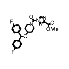 COC(=O)c1ncn(C(=O)N2CCC(OC(c3ccc(F)cc3)c3ccc(F)cc3)CC2)n1